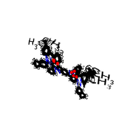 CC(C)(C)c1ccc(N(c2ccc3c(c2)CCC3)c2ccc3c4cc5c(cc4n4c6ccccc6c2c34)c2ccc(N(c3ccc4c(c3)CCC4)c3ccc(C(C)(C)C)cc3-c3ccccc3)c3c4ccccc4n5c23)c(-c2ccccc2)c1